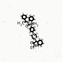 C=C(c1ccccc1)N(C(=O)N(N)c1ccc(N2CCN(C(C(=O)NCC)c3ccccc3)CC2)cc1)c1ccccc1